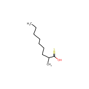 CCCCCCCC(C)C(O)=S